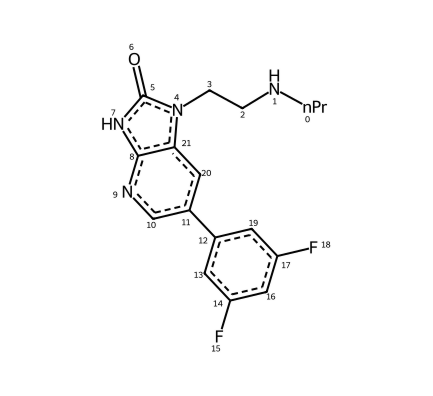 CCCNCCn1c(=O)[nH]c2ncc(-c3cc(F)cc(F)c3)cc21